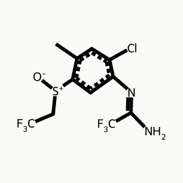 Cc1cc(Cl)c(/N=C(/N)C(F)(F)F)cc1[S+]([O-])CC(F)(F)F